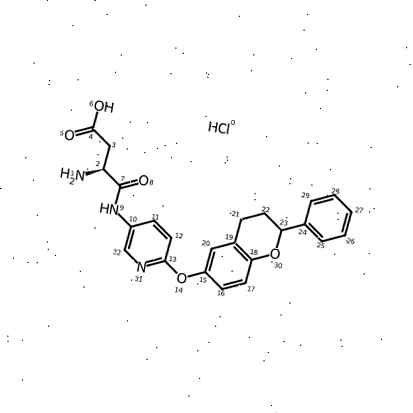 Cl.N[C@@H](CC(=O)O)C(=O)Nc1ccc(Oc2ccc3c(c2)CCC(c2ccccc2)O3)nc1